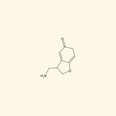 NCC1COC2=CCC(=O)C=C21